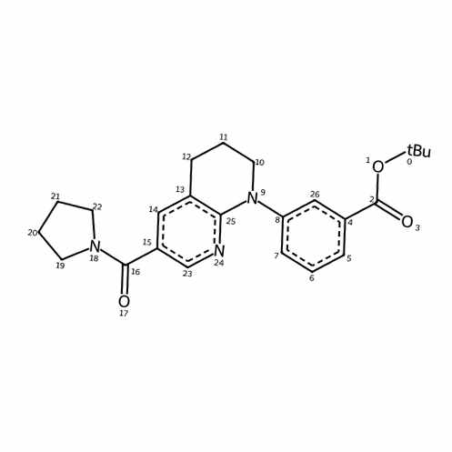 CC(C)(C)OC(=O)c1cccc(N2CCCc3cc(C(=O)N4CCCC4)cnc32)c1